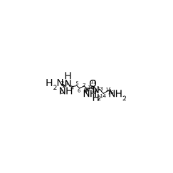 N=C(N)NCCCC[C@H](N)C(=O)NCCCN